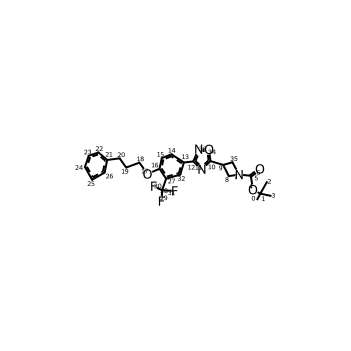 CC(C)(C)OC(=O)N1CC(c2nc(-c3ccc(OCCCc4ccccc4)c(C(F)(F)F)c3)no2)C1